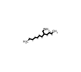 CCCCCCCC(CN)CCCC